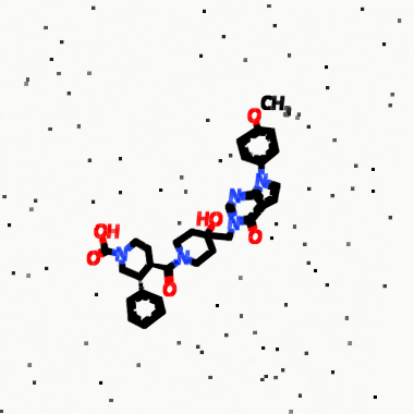 COc1ccc(-n2ccc3c(=O)n(CC4(O)CCN(C(=O)[C@@H]5CCN(C(=O)O)C[C@H]5c5ccccc5)CC4)cnc32)cc1